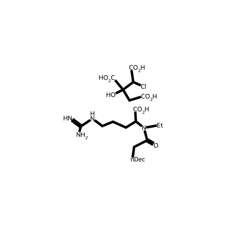 CCCCCCCCCCCC(=O)N(CC)C(CCCNC(=N)N)C(=O)O.O=C(O)CC(O)(C(=O)O)C(Cl)C(=O)O